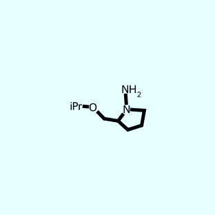 CC(C)OCC1CCCN1N